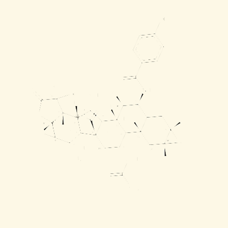 CC(=O)O[C@H]1[C@H]2[C@@H]([C@@H](O)[C@@H](NC(=O)c3ccc(O)cc3)C3C[C@@H]4O[C@@H]4[C@H](O)[C@@]32C)[C@@H]2[C@@H](O)[C@@H]3[C@H]([C@H](C)[C@H]4O[C@]45OC(=O)[C@@](C)(O)[C@]35C)[C@@]2(C(C)=O)[C@H]1O